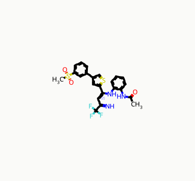 CC(=O)Nc1ccccc1N/C(=C\C(=N)C(F)(F)F)c1cc(-c2cccc(S(C)(=O)=O)c2)cs1